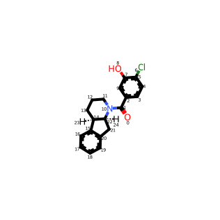 O=C(c1ccc(Cl)c(O)c1)N1CCC[C@@H]2c3ccccc3C[C@@H]21